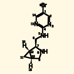 Brc1cnc(NC[C@H]2NC[C@H]3C[C@H]32)nc1